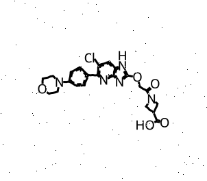 O=C(O)C1CN(C(=O)COc2nc3nc(-c4ccc(N5CCOCC5)cc4)c(Cl)cc3[nH]2)C1